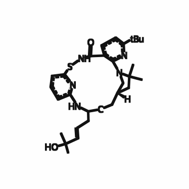 CC(C)(O)/C=C/CC1CC[C@@H]2CN(c3nc(C(C)(C)C)ccc3C(=O)NSc3cccc(n3)N1)C(C)(C)C2